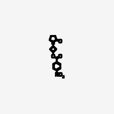 O=C(OC1CC(N2CCCC2=O)C1)c1ccc([N+](=O)[O-])cc1